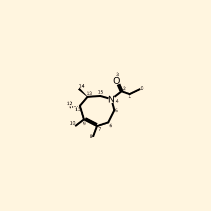 CCC(=O)N1CC/C(C)=C(/C)[C@H](C)[C@@H](C)C1